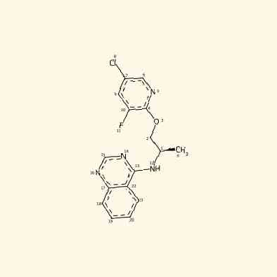 C[C@H](COc1ncc(Cl)cc1F)Nc1ncnc2ccccc12